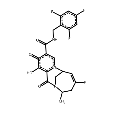 CC1CC(F)=CC2CN1C(=O)c1c(O)c(=O)c(C(=O)NCc3c(F)cc(F)cc3F)cn12